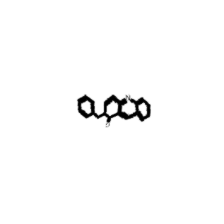 O=C1c2cc3ccccc3nc2C=CC1Cc1ccccc1